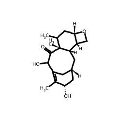 CC1=C2C[C@@H](C[C@@H]1O)C[C@H]1[C@H]3CO[C@H]3CC(C)[C@@]1(C)C(=O)C2O